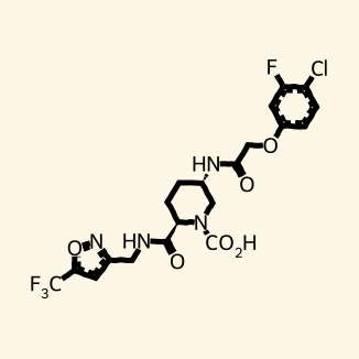 O=C(COc1ccc(Cl)c(F)c1)N[C@H]1CC[C@H](C(=O)NCc2cc(C(F)(F)F)on2)N(C(=O)O)C1